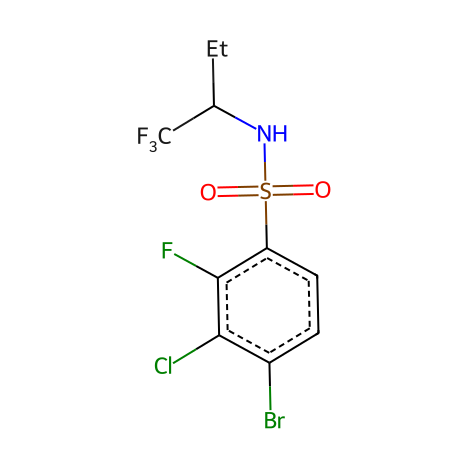 CCC(NS(=O)(=O)c1ccc(Br)c(Cl)c1F)C(F)(F)F